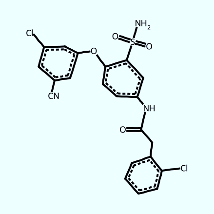 N#Cc1cc(Cl)cc(Oc2ccc(NC(=O)Cc3ccccc3Cl)cc2S(N)(=O)=O)c1